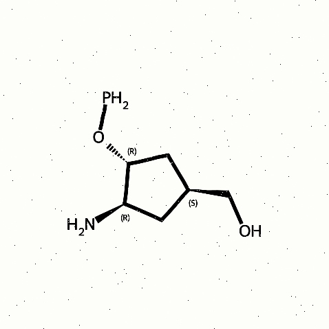 N[C@@H]1C[C@H](CO)C[C@H]1OP